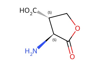 N[C@@H]1C(=O)OC[C@H]1C(=O)O